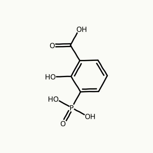 O=C(O)c1cccc(P(=O)(O)O)c1O